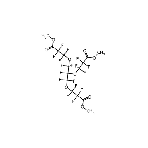 COC(=O)C(F)(F)C(F)(F)OC(F)(F)C(F)(OC(F)(F)C(F)(F)C(=O)OC)C(F)(F)OC(F)(F)C(F)(F)C(=O)OC